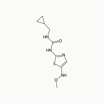 CONc1cnc(NC(=O)NCC2CC2)s1